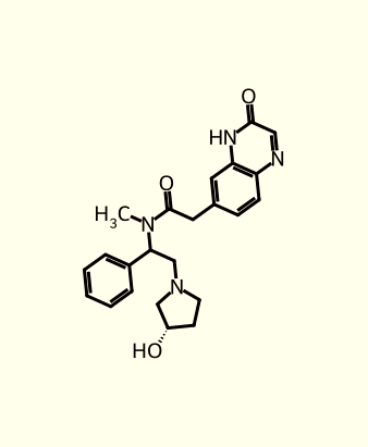 CN(C(=O)Cc1ccc2ncc(=O)[nH]c2c1)C(CN1CC[C@H](O)C1)c1ccccc1